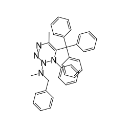 CC1=C(C(c2ccccc2)(c2ccccc2)c2ccccc2)N(c2ccccc2)N(N(C)Cc2ccccc2)N=N1